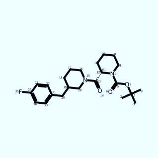 CC(C)(C)OC(=O)N1CCCC[C@H]1C(=O)N1CCCC(Cc2ccc(F)cc2)C1